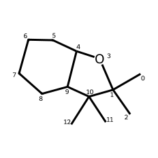 CC1(C)OC2CCCCC2C1(C)C